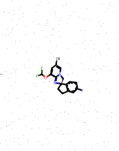 N#CC1=CN2C[C@@]3(CCc4cc(I)ccc43)N=C2C(OC(F)F)=C1